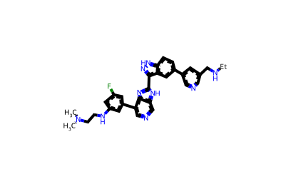 CCNCc1cncc(-c2ccc3[nH]nc(-c4nc5c(-c6cc(F)cc(NCCN(C)C)c6)cncc5[nH]4)c3c2)c1